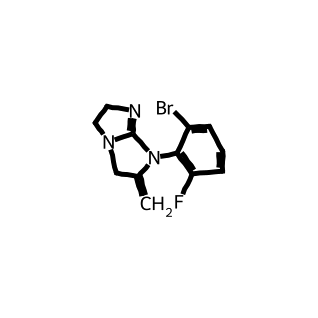 C=C1CN2CCN=C2N1c1c(F)cccc1Br